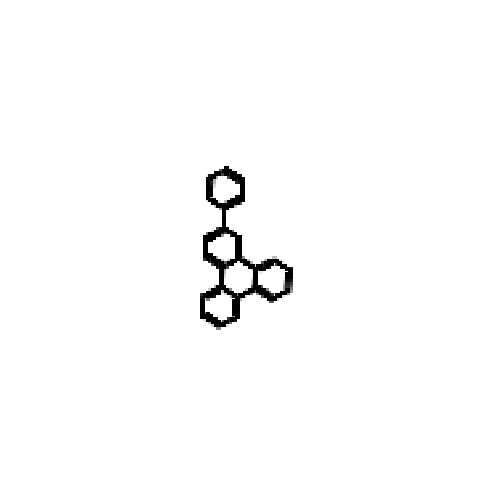 [c]1ccc(-c2ccc3c4ccccc4c4ccccc4c3c2)cc1